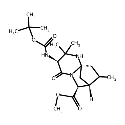 COC(=O)[C@@H]1[C@@H]2C[C@]3(CC2C)NC(C)(C)[C@H](NC(=O)OC(C)(C)C)C(=O)N13